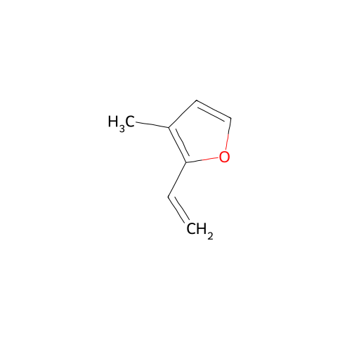 C=Cc1occc1C